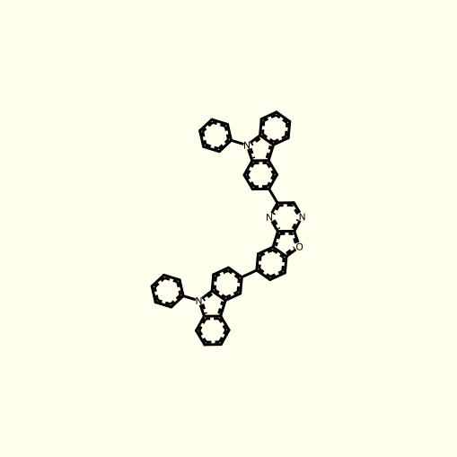 c1ccc(-n2c3ccccc3c3cc(-c4ccc5oc6ncc(-c7ccc8c(c7)c7ccccc7n8-c7ccccc7)nc6c5c4)ccc32)cc1